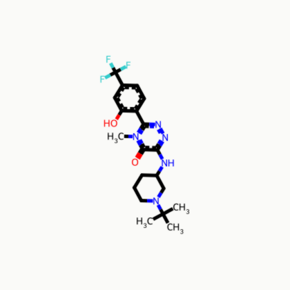 Cn1c(-c2ccc(C(F)(F)F)cc2O)nnc(NC2CCCN(C(C)(C)C)C2)c1=O